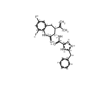 C=C(C)[C@@H]1Cc2cc(F)cc(F)c2NC(=O)[C@H]1NC(=O)c1nnc(Cc2ccccc2)[nH]1